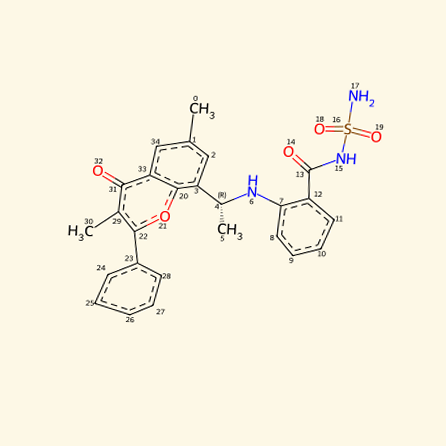 Cc1cc([C@@H](C)Nc2ccccc2C(=O)NS(N)(=O)=O)c2oc(-c3ccccc3)c(C)c(=O)c2c1